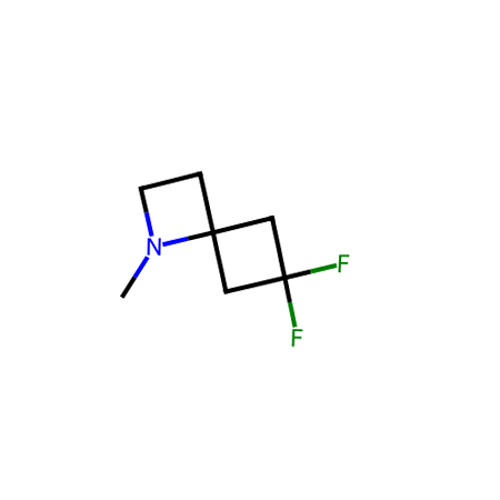 CN1CCC12CC(F)(F)C2